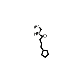 CC(C)CNC(=O)CCCC1CCCC1